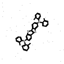 Cc1ccccc1N(c1ccc2c(c1)sc1c3ccc(N(c4ccccc4C)c4ccccc4C)cc3sc21)c1ccccc1C